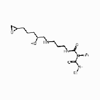 CCCN(C(=O)NCC)C(=O)NCCCNCC(O)CCCC1CO1